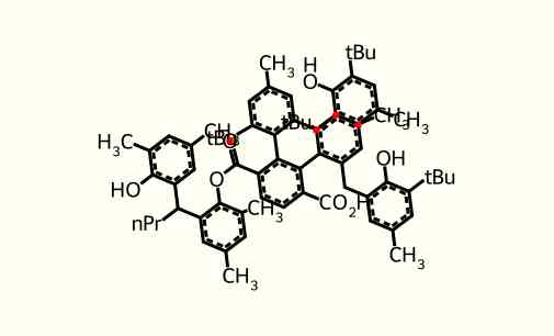 CCCC(c1cc(C)cc(C)c1O)c1cc(C)cc(C)c1OC(=O)c1ccc(C(=O)O)c(-c2c(Cc3cc(C)cc(C(C)(C)C)c3O)cc(C)cc2C(C)(C)C)c1-c1c(Cc2cc(C)cc(C(C)(C)C)c2O)cc(C)cc1C(C)(C)C